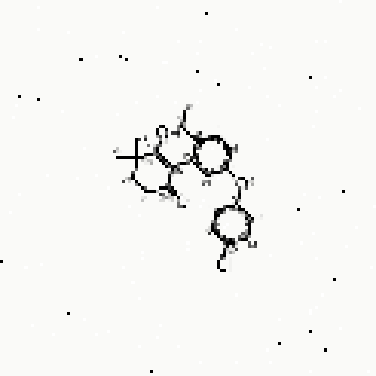 CCc1ccc(Oc2ccc(Cl)cc2)cc1C1=C(O)C(C)(C)CCC1=O